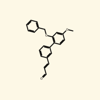 COc1ccc(-c2cccc(C=CC=O)c2)c(OCc2ccccc2)c1